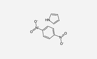 O=[N+]([O-])c1ccc([N+](=O)[O-])cc1.c1cc[nH]c1